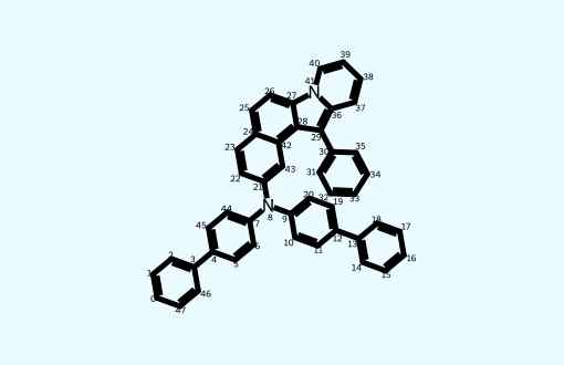 c1ccc(-c2ccc(N(c3ccc(-c4ccccc4)cc3)c3ccc4ccc5c(c(-c6ccccc6)c6ccccn65)c4c3)cc2)cc1